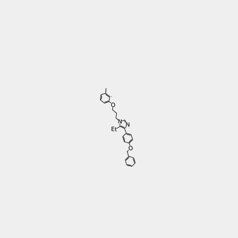 CCc1c(-c2ccc(OCc3ccccc3)cc2)ncn1CCCOc1[c]c(C)ccc1